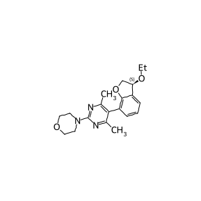 CCO[C@@H]1COc2c(-c3c(C)nc(N4CCOCC4)nc3C)cccc21